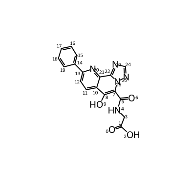 O=C(O)CNC(=O)c1c(O)c2ccc(-c3ccccc3)nc2c2ncnn12